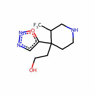 OCCC1(c2cnno2)CCNCC1C(F)(F)F